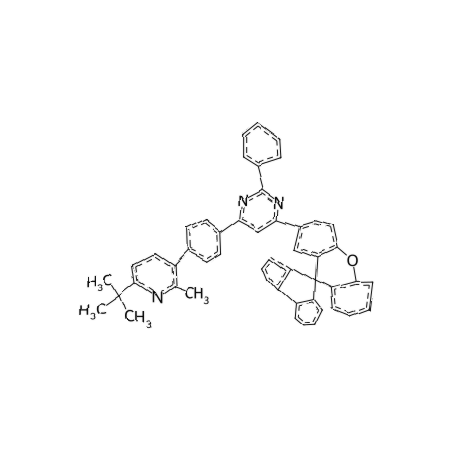 Cc1nc(C(C)(C)C)ccc1-c1ccc(-c2cc(-c3ccc4c(c3)C3(c5ccccc5O4)c4ccccc4-c4ccccc43)nc(-c3ccccc3)n2)cc1